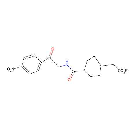 CCOC(=O)CC1CCC(C(=O)NCC(=O)c2ccc([N+](=O)[O-])cc2)CC1